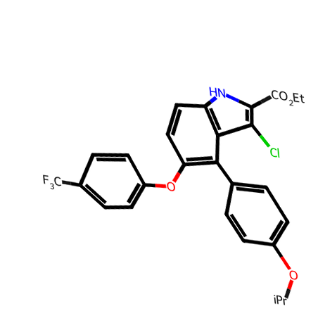 CCOC(=O)c1[nH]c2ccc(Oc3ccc(C(F)(F)F)cc3)c(-c3ccc(OC(C)C)cc3)c2c1Cl